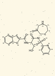 O=C(NC(CO)C(=O)N([C@H]1CCCNCC1=O)S(=O)(=O)c1ccccn1)c1cc2ccccc2o1